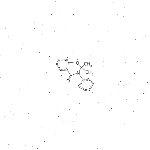 CC1(C)Oc2ccccc2C(=O)N1c1ccccn1